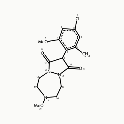 COc1cc(Cl)cc(C)c1C1C(=O)N2CCN(OC)CCN2C1=O